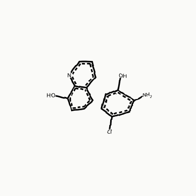 Nc1cc(Cl)ccc1O.Oc1cccc2cccnc12